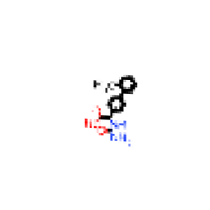 Cc1ccccc1-c1ccc(C(NC(N)=O)C(=O)O)cc1